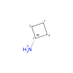 N[C@@H]1[CH]CC1